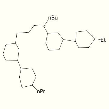 CCCCC(CCCC1CCCC(C2CCC(CCC)CC2)C1)C1CCCC(C2CCC(CC)CC2)C1